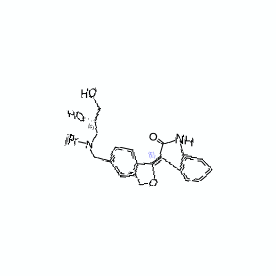 CC(C)N(Cc1ccc2c(c1)CO/C2=C1/C(=O)Nc2ccccc21)C[C@H](O)CO